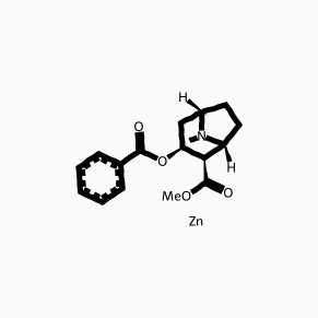 COC(=O)[C@H]1[C@@H](OC(=O)c2ccccc2)C[C@@H]2CC[C@H]1N2C.[Zn]